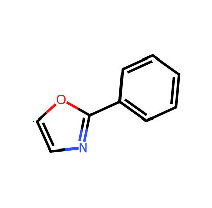 [c]1cnc(-c2ccccc2)o1